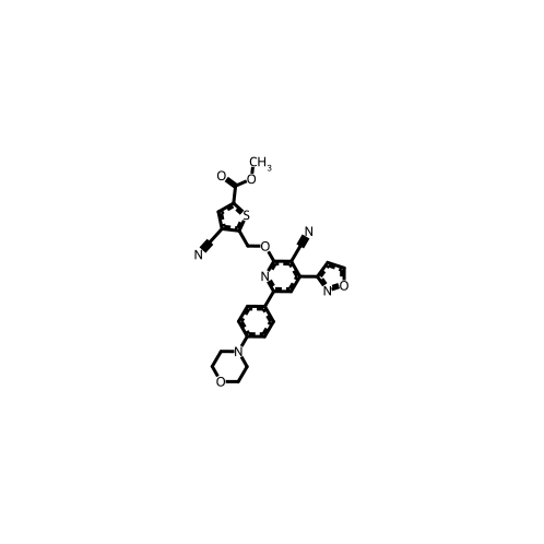 COC(=O)c1cc(C#N)c(COc2nc(-c3ccc(N4CCOCC4)cc3)cc(-c3ccon3)c2C#N)s1